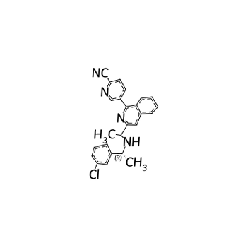 CC(N[C@H](C)c1cccc(Cl)c1)c1cc2ccccc2c(-c2ccc(C#N)nc2)n1